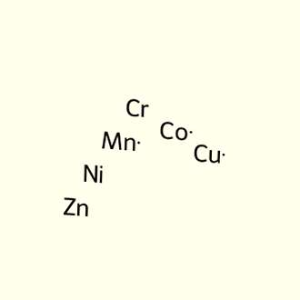 [Co].[Cr].[Cu].[Mn].[Ni].[Zn]